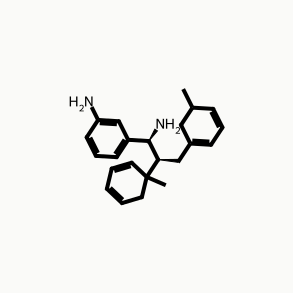 CC1C=CC=C(C[C@H]([C@H](N)c2cccc(N)c2)C2(C)C=CC=CC2)C1